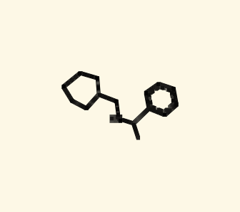 CC(NCC1CCCCC1)c1ccccc1